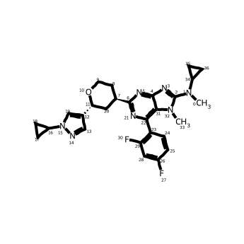 CN(c1nc2nc([C@@H]3CCO[C@@H](c4cnn(C5CC5)c4)C3)nc(-c3ccc(F)cc3F)c2n1C)C1CC1